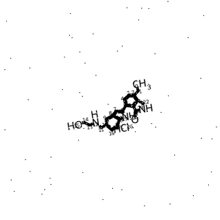 CCc1ccc(-c2cc3cc(CNCCO)ccc3[nH]2)c2c1CNC2=O.Cl